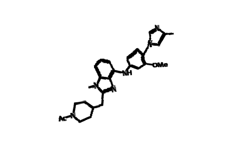 COc1cc(Nc2cccc3c2nc(CC2CCN(C(C)=O)CC2)n3C)ccc1-n1cnc(C)c1